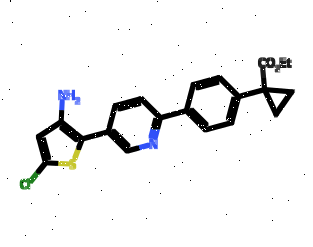 CCOC(=O)C1(c2ccc(-c3ccc(-c4sc(Cl)cc4N)cn3)cc2)CC1